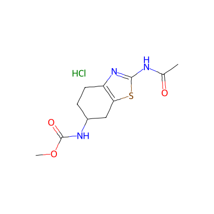 COC(=O)NC1CCc2nc(NC(C)=O)sc2C1.Cl